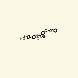 CC(O)N1CCN(c2ccc(C(=O)Nc3n[nH]c4cc(OCCOCc5ccccc5)ccc34)cc2)CC1